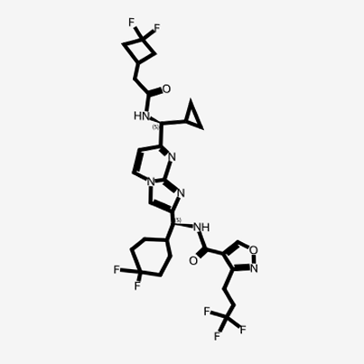 O=C(CC1CC(F)(F)C1)N[C@H](c1ccn2cc([C@@H](NC(=O)c3conc3CCC(F)(F)F)C3CCC(F)(F)CC3)nc2n1)C1CC1